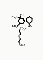 CC1(C(=O)O)C=CC=C(C(=O)O)C1.CCCN1CCCCC1.COCCOCCC(=O)O